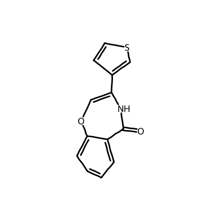 O=C1NC(c2ccsc2)=COc2ccccc21